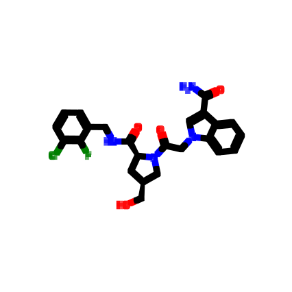 NC(=O)c1cn(CC(=O)N2C[C@@H](CO)C[C@H]2C(=O)NCc2cccc(Cl)c2F)c2ccccc12